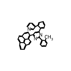 Cc1ccccc1-c1nc(-c2ccccc2-c2cccnc2)cc(-c2ccc3ccc4cccc5ccc2c3c45)n1